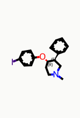 CN1CC[C@@H](Oc2ccc(I)cc2)[C@@H](c2ccccc2)C1